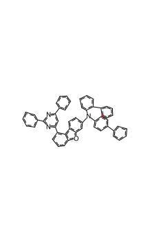 c1ccc(-c2ccc(N(c3ccc4c(c3)oc3cccc(-c5cc(-c6ccccc6)nc(-c6ccccc6)n5)c34)c3ccccc3-c3ccccc3)cc2)cc1